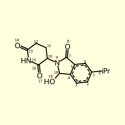 CC(C)c1ccc2c(c1)C(=O)N(C1CCC(=O)NC1=O)C2O